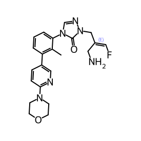 Cc1c(-c2ccc(N3CCOCC3)nc2)cccc1-n1cnn(C/C(=C/F)CN)c1=O